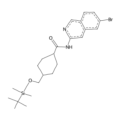 CC(C)(C)[Si](C)(C)OCC1CCC(C(=O)Nc2cc3cc(Br)ccc3cn2)CC1